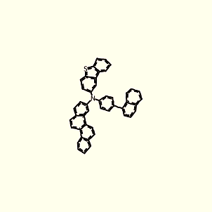 c1ccc2c(-c3ccc(N(c4ccc5ccc6c7ccccc7ccc6c5c4)c4ccc5sc6ccccc6c5c4)cc3)cccc2c1